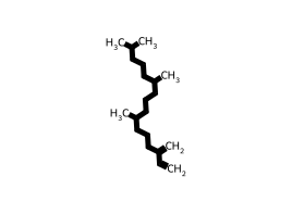 C=CC(=C)CCCC(C)CCCC(C)CCCC(C)C